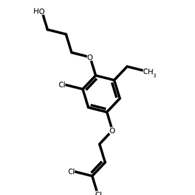 CCc1cc(OCC=C(Cl)Cl)cc(Cl)c1OCCCO